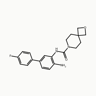 Nc1ccc(-c2ccc(F)cc2)cc1NC(=O)N1CCC2(CC1)COC2